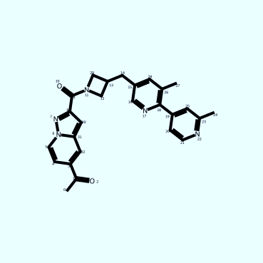 CC(=O)c1ccn2nc(C(=O)N3CC(Cc4cnc(-c5ccnc(C)c5)c(C)c4)C3)cc2c1